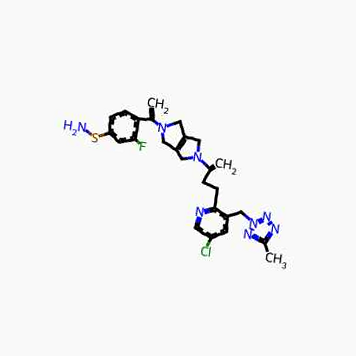 C=C(CCc1ncc(Cl)cc1Cn1nnc(C)n1)N1CC2=C(C1)CN(C(=C)c1ccc(SN)cc1F)C2